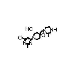 Cc1nc(Cl)cc(N2CCC(O)(CN3CCNCC3)CC2)n1.Cl